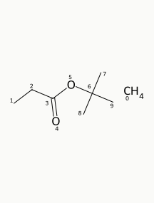 C.CCC(=O)OC(C)(C)C